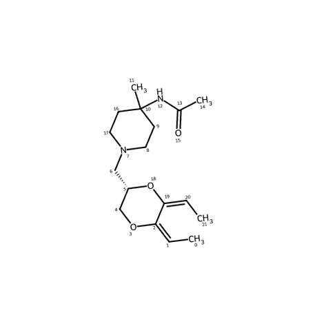 C/C=C1/OC[C@H](CN2CCC(C)(NC(C)=O)CC2)O/C1=C/C